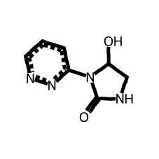 O=C1NCC(O)N1c1cccnn1